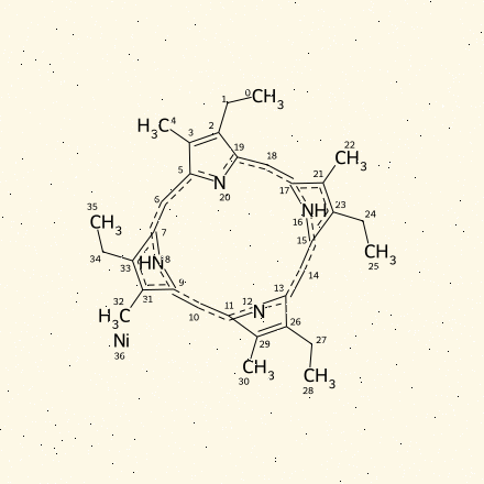 CCC1=C(C)c2cc3[nH]c(cc4nc(cc5[nH]c(cc1n2)c(C)c5CC)C(CC)=C4C)c(C)c3CC.[Ni]